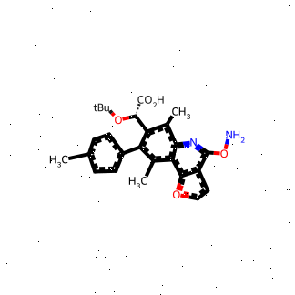 Cc1ccc(-c2c([C@H](OC(C)(C)C)C(=O)O)c(C)c3nc(ON)c4ccoc4c3c2C)cc1